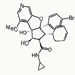 COc1cncc2c1[C@]1(O)[C@H](O)[C@H](C(=O)NC3CC3)[C@@H](C3C=CC=CC3)[C@]1(c1ccc(Br)cc1)O2